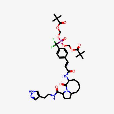 CC(C)(C)C(=O)OCOP(=O)(OCOC(=O)C(C)(C)C)C(F)(F)c1ccc(/C=C/C(=O)NC2CCCCC3CCC(C(=O)NCCc4cn[nH]c4)N3C2=O)cc1